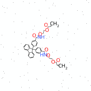 C=CC(=O)OCCONC(=O)c1ccc(C2(c3ccc(C(=O)NOCCOC(=O)C=C)cc3)c3ccccc3-c3ccccc32)cc1